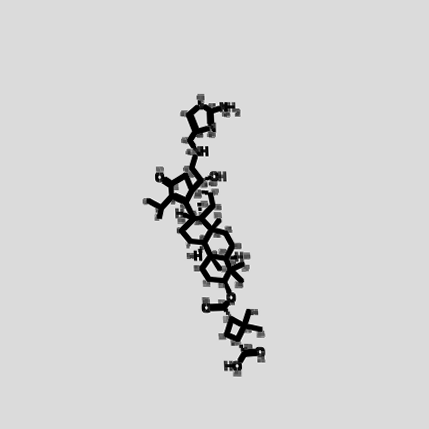 CC(C)C1=C2[C@H]3CC[C@@H]4[C@@]5(C)CC[C@H](OC(=O)[C@H]6C[C@@H](C(=O)O)C6(C)C)C(C)(C)[C@@H]5CC[C@@]4(C)[C@]3(C)CC[C@@]2([C@@H](O)CNCc2csc(N)n2)CC1=O